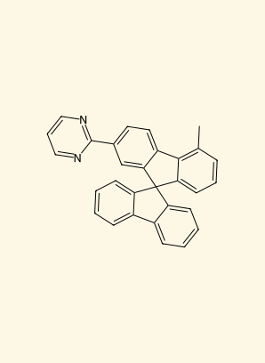 Cc1cccc2c1-c1ccc(-c3ncccn3)cc1C21c2ccccc2-c2ccccc21